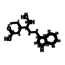 CCC(CC(=O)O)C(CCc1c[nH]c2ccccc12)NO